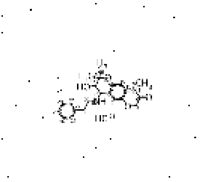 CN1C(=O)COc2cc3c(cc21)OC(C)(C)C(O)C3NCCc1ccccc1.Cl